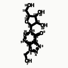 O=c1c2nnn(CO)c2nnn1C1OC(CO)C(O)C1O